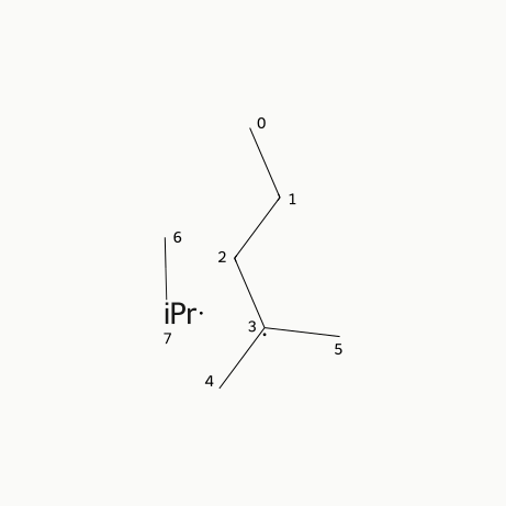 CCC[C](C)C.C[C](C)C